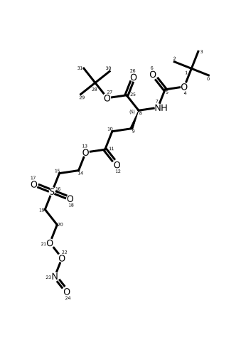 CC(C)(C)OC(=O)N[C@@H](CCC(=O)OCCS(=O)(=O)CCOON=O)C(=O)OC(C)(C)C